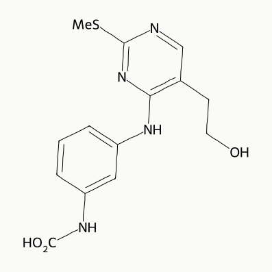 CSc1ncc(CCO)c(Nc2cccc(NC(=O)O)c2)n1